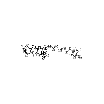 CS(=O)(=O)n1cc(Cc2cccnc2)c(=O)nc1SCCCCCCCCc1ccc(Cl)cc1